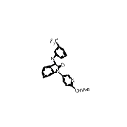 COc1ccc(N2C(=O)/C(=N\c3cccc(C(F)(F)F)c3)c3ccccc32)cn1